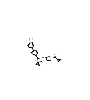 O=C(C1CC1)N1CC[C@@H](CN2C(=O)C3(CC3)N=C2c2ccc(-c3ccc(OC(F)(F)F)cc3)cc2)C1